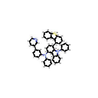 c1ccc(N(c2cccc(-c3cccnc3)c2)c2ccc(-c3cccc4sc5ccccc5c34)c3c2c2ccccc2n3-c2ccccc2)cc1